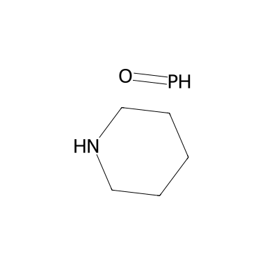 C1CCNCC1.O=P